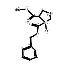 CC(C)(C)OC(=O)C1CNC[N+]1([O-])C(=O)OCc1ccccc1